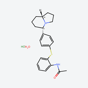 CC(=O)Nc1ccccc1Sc1ccc([C@@H]2CCC[C@@H]3CCCN32)cc1.Cl.O